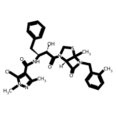 Cc1ccccc1CN1C(=O)[C@H]2N(C(=O)[C@@H](O)[C@H](Cc3ccccc3)NC(=O)c3c(C)nn(C)c3Cl)CSC21C